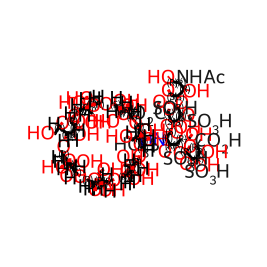 CC(=O)N[C@@H]1[C@@H](O)[C@H](O[C@@H]2O[C@H](C(=O)O)[C@@H](O[C@@H]3O[C@H](CO)[C@@H](O[C@H]4O[C@@H](C(=O)O)[C@H](O)[C@@H](O)[C@@H]4OS(=O)(=O)O)[C@H](OS(=O)(=O)O)[C@H]3NS(=O)(=O)O)[C@H](O)[C@H]2OS(=O)(=O)O)[C@H](COS(=O)(=O)O)O[C@H]1O.OC[C@H]1O[C@@H]2O[C@H]3[C@H](O)[C@@H](O)[C@@H](O[C@H]4[C@H](O)[C@@H](O)[C@@H](O[C@H]5[C@H](O)[C@@H](O)[C@@H](O[C@H]6[C@H](O)[C@@H](O)[C@@H](O[C@H]7[C@H](O)[C@@H](O)[C@@H](O[C@H]8[C@H](O)[C@@H](O)[C@@H](O[C@H]1[C@H](O)[C@H]2O)O[C@@H]8CO)O[C@@H]7CO)O[C@@H]6CO)O[C@@H]5CO)O[C@@H]4CO)O[C@@H]3CO